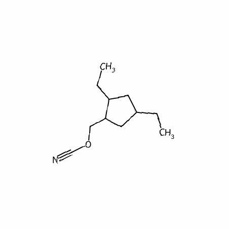 CCC1CC(CC)C(COC#N)C1